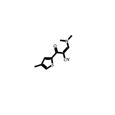 Cc1csc(C(=O)/C(C#N)=C\N(C)C)c1